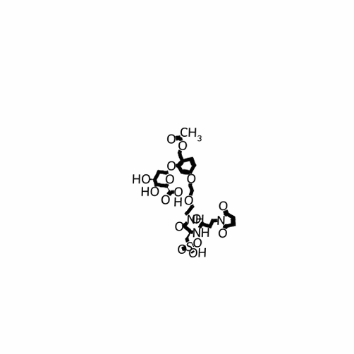 CC(=O)OCc1ccc(OCCOCCNC(=O)[C@H](CS(=O)(=O)O)NC(=O)CCN2C(=O)C=CC2=O)cc1O[C@H]1C[C@@H](O)[C@H](O)[C@@H](C(=O)O)O1